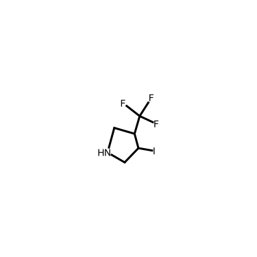 FC(F)(F)C1CNCC1I